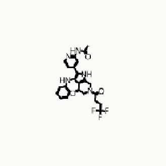 CC(=O)Nc1cc(-c2[nH]c3c(c2Nc2ccccc2)C(=O)CN(C(=O)CCC(F)(F)F)C3)ccn1